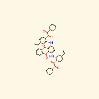 C=Cc1ccc(C(=O)C(=O)c2ccccc2)c(Nc2ccc(Nc3cc(C=C)ccc3C(=O)C(=O)c3ccccc3)c3c2C(=O)c2ccccc2C3=O)c1